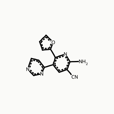 N#Cc1cc(-c2ccncn2)c(-c2ccco2)nc1N